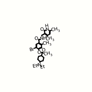 CCN(CC)C1CCC(C2(C)Oc3c(Br)cc(C(=O)NCc4c(C)cc(C)[nH]c4=O)c(C)c3O2)CC1